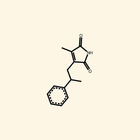 CC1=C(CC(C)c2ccccc2)C(=O)NC1=O